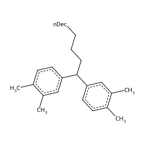 CCCCCCCCCCCCCC(c1ccc(C)c(C)c1)c1ccc(C)c(C)c1